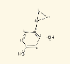 Oc1ccc(C2CC2)c(O)c1